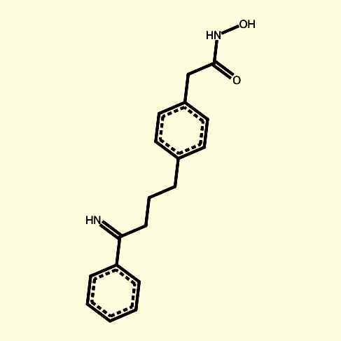 N=C(CCCc1ccc(CC(=O)NO)cc1)c1ccccc1